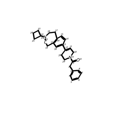 O=C(Cc1ccccc1)N1CC=C(c2ccc3c(c2)CCN(C2CCC2)CC3)CC1